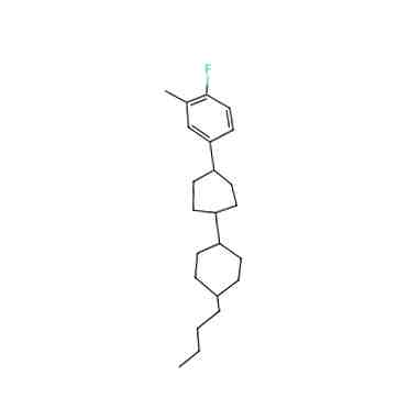 CCCCC1CCC(C2CCC(c3ccc(F)c(C)c3)CC2)CC1